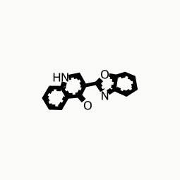 O=c1c(-c2nc3ccccc3o2)c[nH]c2ccccc12